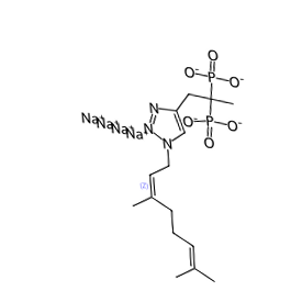 CC(C)=CCC/C(C)=C\Cn1cc(CC(C)(P(=O)([O-])[O-])P(=O)([O-])[O-])nn1.[Na+].[Na+].[Na+].[Na+]